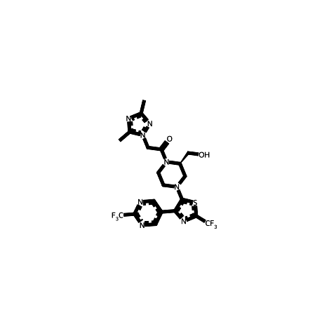 Cc1nc(C)n(CC(=O)N2CCN(c3sc(C(F)(F)F)nc3-c3cnc(C(F)(F)F)nc3)C[C@@H]2CO)n1